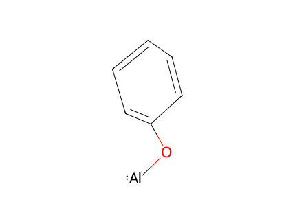 [Al][O]c1ccccc1